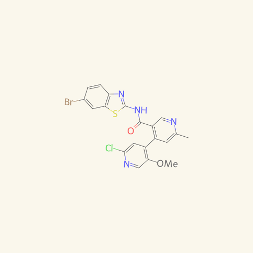 COc1cnc(Cl)cc1-c1cc(C)ncc1C(=O)Nc1nc2ccc(Br)cc2s1